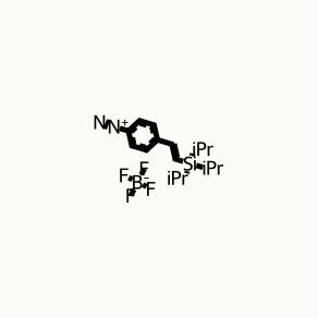 CC(C)[Si](C=Cc1ccc([N+]#N)cc1)(C(C)C)C(C)C.F[B-](F)(F)F